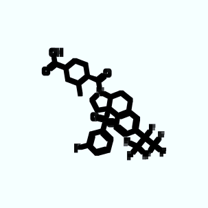 CC1CC(C(=O)O)CC[C@H]1C(=O)N1CCC2(S(=O)(=O)c3cccc(F)c3)c3ccc(C(F)(C(F)(F)F)C(F)(F)F)cc3CCC12